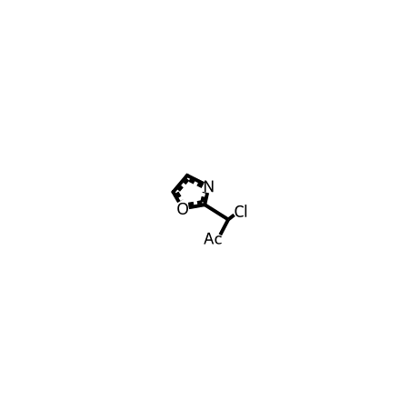 CC(=O)C(Cl)c1ncco1